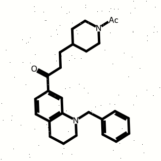 CC(=O)N1CCC(CCC(=O)c2ccc3c(c2)N(Cc2ccccc2)CCC3)CC1